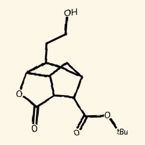 CC(C)(C)OC(=O)C1C2CC3C(OC(=O)C31)C2CCO